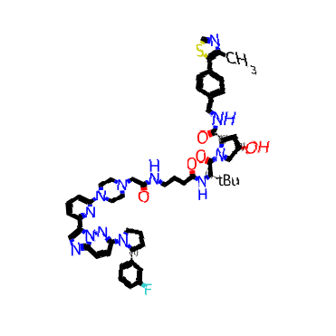 Cc1ncsc1-c1ccc(CNC(=O)[C@@H]2C[C@@H](O)CN2C(=O)[C@@H](NC(=O)CCCNC(=O)CN2CCN(c3cccc(-c4cnc5ccc(N6CCC[C@@H]6c6cccc(F)c6)nn45)n3)CC2)C(C)(C)C)cc1